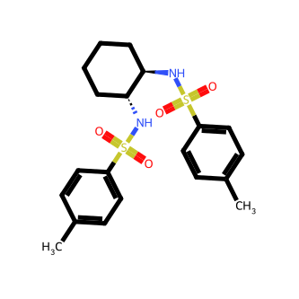 Cc1ccc(S(=O)(=O)N[C@@H]2CCCC[C@H]2NS(=O)(=O)c2ccc(C)cc2)cc1